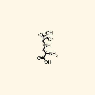 NC(CNCS(=O)(=O)O)C(=O)O